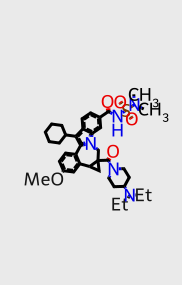 CCN(CC)C1CCN(C(=O)C23CC2c2cc(OC)ccc2-c2c(C4CCCCC4)c4ccc(C(=O)NS(=O)(=O)N(C)C)cc4n2C3)CC1